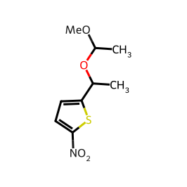 COC(C)OC(C)c1ccc([N+](=O)[O-])s1